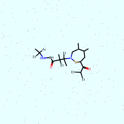 CCC(CC)C(=O)C1CC(C)C(C)CN(C(C)(CC)C(C)(CC)C(=O)BNC(C)(CC)C(C)=O)S1